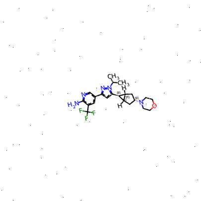 CC(C)n1nc(-c2cnc(N)c(C(F)(F)F)c2)cc1[C@H]1[C@@H]2C[C@H](N3CCOCC3)C[C@@H]21